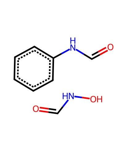 O=CNO.O=CNc1ccccc1